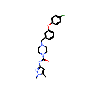 Cc1cc(NC(=O)N2CCN(Cc3cccc(Oc4ccc(Cl)cc4)c3)CC2)nn1C